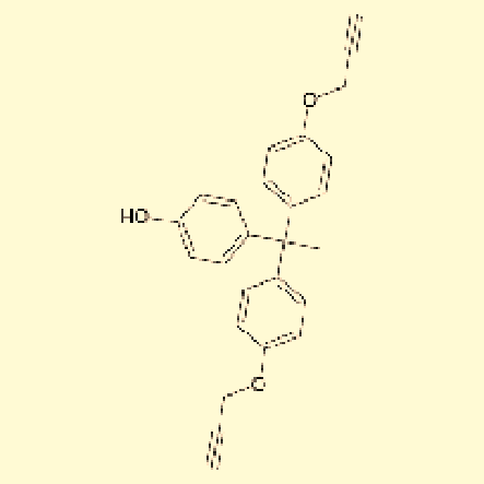 C#CCOc1ccc(C(C)(c2ccc(O)cc2)c2ccc(OCC#C)cc2)cc1